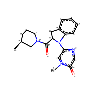 CCn1cc(N2c3ccccc3CC2C(=O)N2CCC[C@H](C)C2)ncc1=O